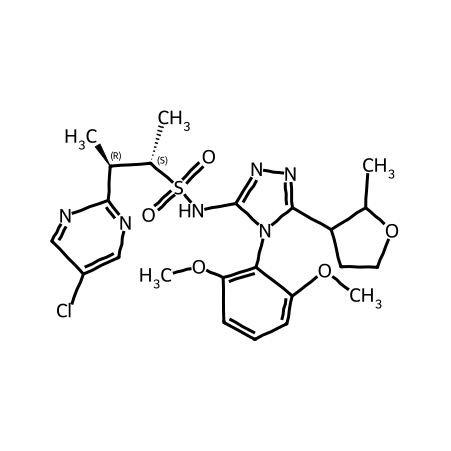 COc1cccc(OC)c1-n1c(NS(=O)(=O)[C@@H](C)[C@H](C)c2ncc(Cl)cn2)nnc1C1CCOC1C